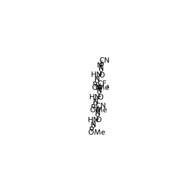 COc1ccc2c(c1)CCN(CCNC(=O)C1CCN(c3ccc(C#N)c(-c4c(OC)ccc5c4CCN(CCNC(=O)C4CCN(c6ccc(C(F)(F)F)c(-c7c(OC)ccc8c7CCN(CCNC(=O)C7CCN(c9ccc(C#N)cn9)CC7)C8)n6)CC4)C5)c3)CC1)C2